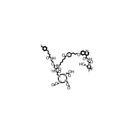 C#C[C@H]1CC(F)(F)CN1C(=O)CNC(=O)c1ccnc2ccc(OCCCC3CCN(C(=O)CCCCCNC(=O)[C@H](CCOCCNC(=O)CCCc4ccc(I)cc4)NC(=O)CN4CCN(COC=O)CCN(COC=O)CCN(CC(=O)O)CC4)CC3)cc12